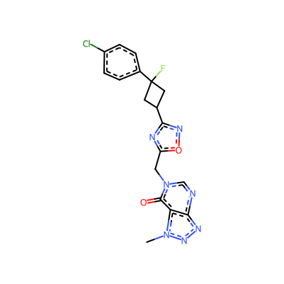 Cn1nnc2ncn(Cc3nc(C4CC(F)(c5ccc(Cl)cc5)C4)no3)c(=O)c21